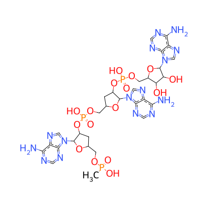 CP(=O)(O)OCC1CC(OP(=O)(O)OCC2CC(OP(=O)(O)OCC3OC(n4cnc5c(N)ncnc54)C(O)C3O)C(n3cnc4c(N)ncnc43)O2)C(n2cnc3c(N)ncnc32)O1